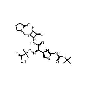 CC(C)(C)OC(=O)Nc1nc(C(=NOC(C)(C)C(=O)O)C(=O)N[C@@H]2C(=O)N[C@@H]2CN2CCCC2=O)cs1